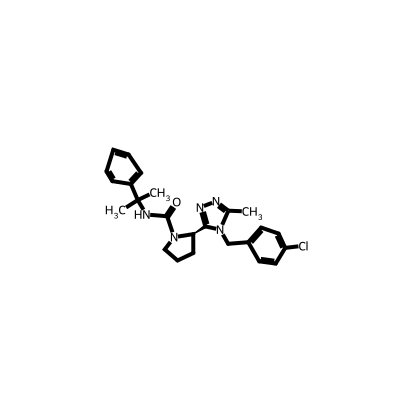 Cc1nnc([C@H]2CCCN2C(=O)NC(C)(C)c2ccccc2)n1Cc1ccc(Cl)cc1